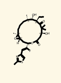 CC[C@H]1C(=O)C(C)(C)[C@@H](O)CC(=O)O[C@H](C(F)=Cc2csc(C)n2)C[C@@H]2O[C@@]2(C)CCC[C@H](C)[C@@H]1O